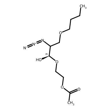 CCCCOCC(N=[N+]=[N-])[C@H](O)OCCOC(C)=O